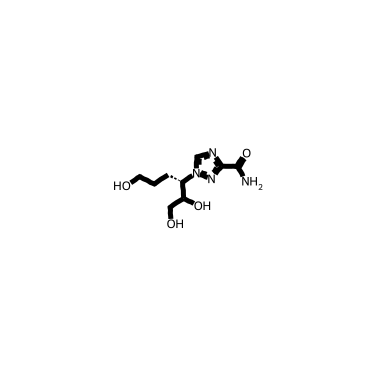 NC(=O)c1ncn([C@@H](CCCO)C(O)CO)n1